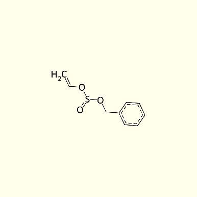 C=COS(=O)OCc1ccccc1